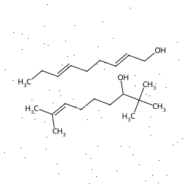 CC(C)=CCCCC(O)C(C)(C)C.CCC=CCCC=CCO